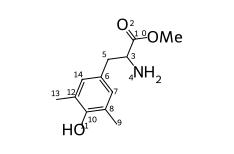 COC(=O)C(N)Cc1cc(C)c(O)c(C)c1